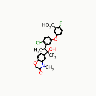 CC(c1cc(Oc2ccc(F)c(C(=O)O)c2)ccc1Cl)C(O)(c1ccc2c(c1)N(C)C(=O)CO2)C(F)(F)F